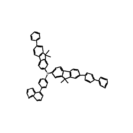 CC1(C)c2cc(-c3ccccc3)ccc2-c2ccc(N(c3ccc(-c4cccc5ccccc45)cc3)c3ccc4c(c3)C(C)(C)c3cc(-c5ccc(-c6ccccc6)cc5)ccc3-4)cc21